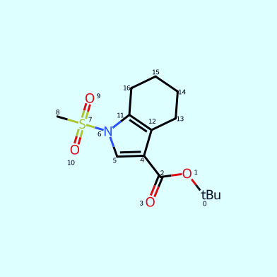 CC(C)(C)OC(=O)c1cn(S(C)(=O)=O)c2c1CCCC2